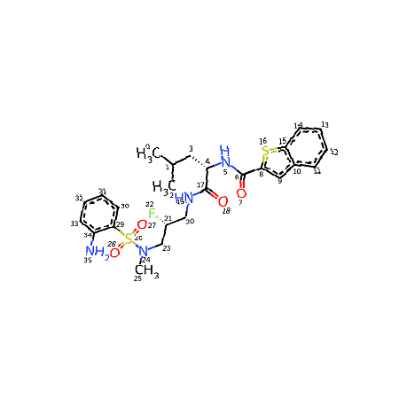 CC(C)C[C@H](NC(=O)c1cc2ccccc2s1)C(=O)NC[C@@H](F)CN(C)S(=O)(=O)c1ccccc1N